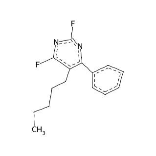 CCCCCc1c(F)nc(F)nc1-c1ccccc1